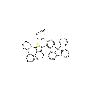 C#C/C=C\C=C(/C)c1cc2c(cc1-c1sc(-c3ccccc3-c3ccccc3)c3c1CCC=C3)C1(c3ccccc3-c3ccccc31)c1ccccc1-2